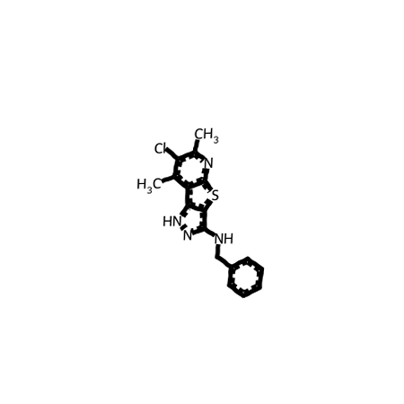 Cc1nc2sc3c(NCc4ccccc4)n[nH]c3c2c(C)c1Cl